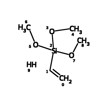 C=C[Si](OC)(OC)OC.[HH]